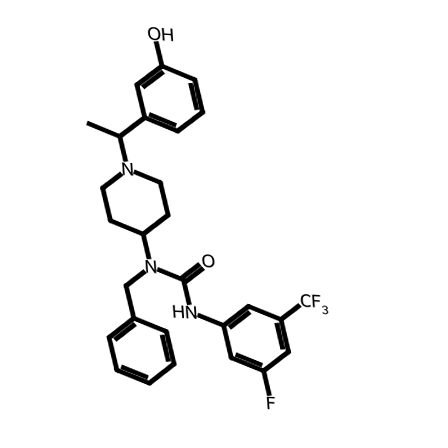 CC(c1cccc(O)c1)N1CCC(N(Cc2ccccc2)C(=O)Nc2cc(F)cc(C(F)(F)F)c2)CC1